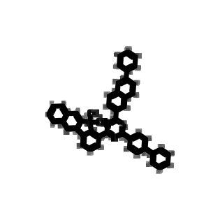 C[Si]1(C)c2cc3ccccc3cc2-c2cccc(-c3nc(-c4ccc(-c5ccccc5)cc4)nc(-c4ccc5cc(-c6ccccc6)ccc5c4)n3)c21